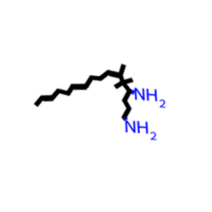 CC=CCCC=CCCC=C(C)C(C)(C)C(N)CCCN